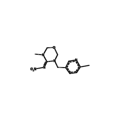 Cc1ccc(CN2COCN(C)C2=N[N+](=O)[O-])cn1